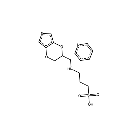 O=S(=O)(O)CCCNCC1COc2cscc2O1.c1ccncc1